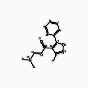 Cc1noc(-c2ccccc2)c1C(=O)C=CN(C)C